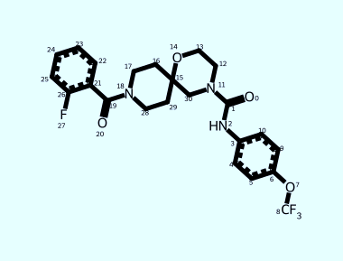 O=C(Nc1ccc(OC(F)(F)F)cc1)N1CCOC2(CCN(C(=O)c3ccccc3F)CC2)C1